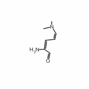 CN(C)/C=C\C=C(\N)C=O